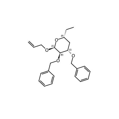 C=CCO[C@H]1O[C@H](CC)C[C@H](OCc2ccccc2)[C@H]1OCc1ccccc1